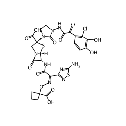 Nc1nc(/C(=N/OC2(C(=O)O)CCC2)C(=O)N[C@@H]2C(=O)N3C[C@@](C(=O)O)(N4CCN(NC(=O)C(=O)c5ccc(O)c(O)c5Cl)C4=O)S[C@H]23)ns1